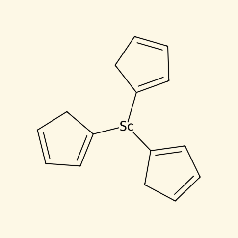 C1=CC[C]([Sc]([C]2=CC=CC2)[C]2=CC=CC2)=C1